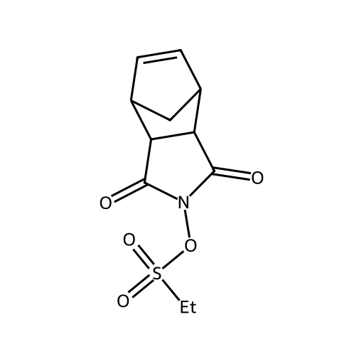 CCS(=O)(=O)ON1C(=O)C2C3C=CC(C3)C2C1=O